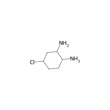 NC1CCC(Cl)CC1N